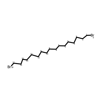 BrCCCCCCCCCCCCCCCCCBr